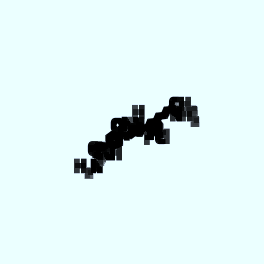 C[C@H](N)CCCc1cc(Cl)c(F)c(-c2cc3cn(-c4ccc([C@@H]5COC[C@@H](CN)N5)cc4)c(=O)nc3[nH]2)c1